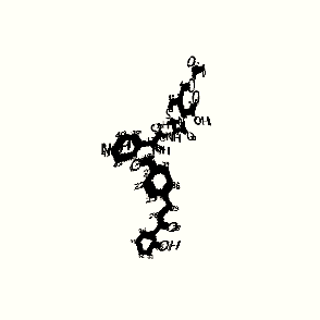 CC(=O)OCC1=C(C(=O)O)N2C(=O)[C@@H](NC(=O)C(NC(=O)c3ccc(C=CC(=O)c4ccccc4O)cc3)c3ccccc3)[C@H]2SC1.[NaH]